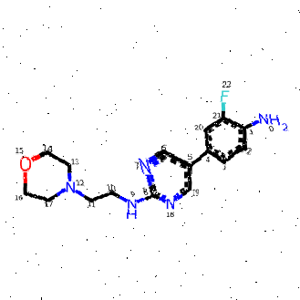 Nc1ccc(-c2cnc(NCCN3CCOCC3)nc2)cc1F